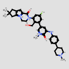 CN1CCC(c2ccc(Nc3cc(-c4cc(F)cc(N5CCn6c(cc7c6CC(C)(C)C7)C5=O)c4CO)cn(C)c3=O)cc2)CC1